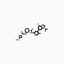 Cc1cnc(NC(=O)[C@H]2CCC[C@@H](NC(=O)[C@H]3C[C@H](O)C3)C2)cc1-c1cc(F)c2ncn(C(C)C)c2c1